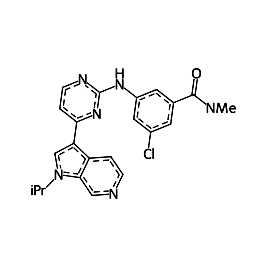 CNC(=O)c1cc(Cl)cc(Nc2nccc(-c3cn(C(C)C)c4cnccc34)n2)c1